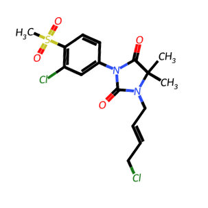 CC1(C)C(=O)N(c2ccc(S(C)(=O)=O)c(Cl)c2)C(=O)N1CC=CCCl